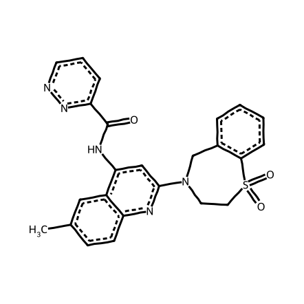 Cc1ccc2nc(N3CCS(=O)(=O)c4ccccc4C3)cc(NC(=O)c3cccnn3)c2c1